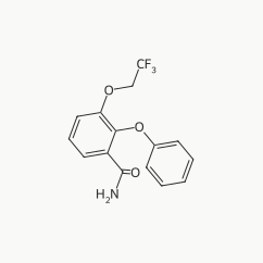 NC(=O)c1cccc(OCC(F)(F)F)c1Oc1ccccc1